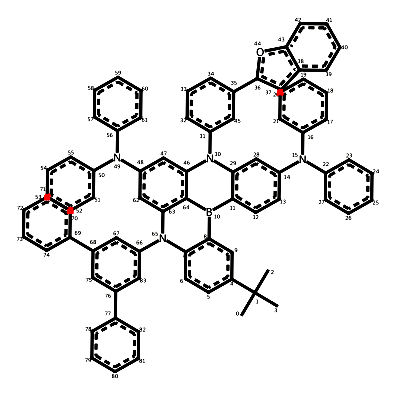 CC(C)(C)c1ccc2c(c1)B1c3ccc(N(c4ccccc4)c4ccccc4)cc3N(c3cccc(-c4cc5ccccc5o4)c3)c3cc(N(c4ccccc4)c4ccccc4)cc(c31)N2c1cc(-c2ccccc2)cc(-c2ccccc2)c1